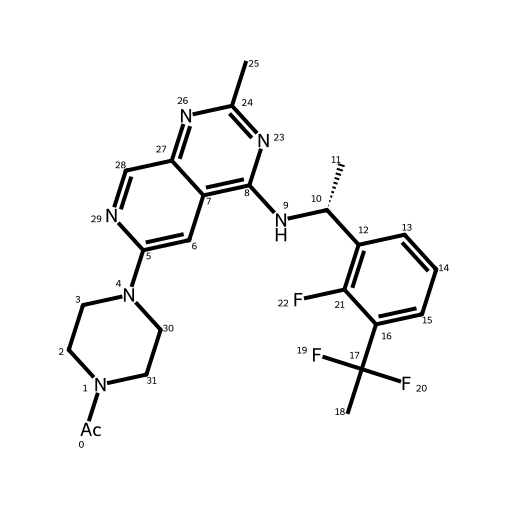 CC(=O)N1CCN(c2cc3c(N[C@H](C)c4cccc(C(C)(F)F)c4F)nc(C)nc3cn2)CC1